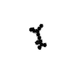 C1=CC2Oc3c(-c4ccc(-c5ccc(-c6nc(-c7ccc(-c8ccccc8)cc7)nc(-c7ccc8c(c7)oc7ccccc78)n6)cc5)cc4)ccc(-c4cc(-c5cccnc5)cc(-c5cccnc5)c4)c3OC2C=C1